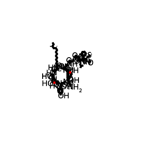 CC[C@H](C)C[C@H](C)CCCCCCCCC(=O)N[C@H]1C[C@@H](O)[C@@H](NCCNC(=O)CCNC(=O)[C@H](Cc2ccccc2)NC(=O)[C@H](CC(C)C)NC(=O)[C@H](CCSC)NC=O)NC(=O)[C@@H]2[C@@H](O)CCN2C(=O)[C@H]([C@H](O)CCN)NC(=O)[C@H]([C@H](O)[C@@H](O)c2ccc(O)cc2)NC(=O)[C@@H]2C[C@@H](O)CN2C(=O)[C@H]([C@@H](C)O)NC1=O